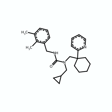 Cc1cccc(CNC(=O)N(CC2CC2)CC2(c3ccccn3)CCCCC2)c1C